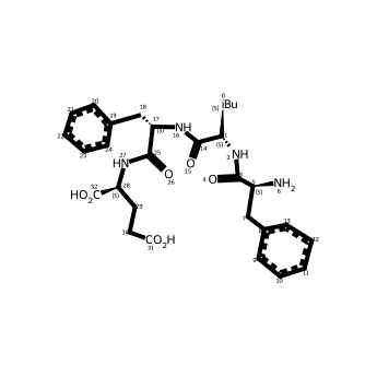 CC[C@H](C)[C@H](NC(=O)[C@@H](N)Cc1ccccc1)C(=O)N[C@@H](Cc1ccccc1)C(=O)N[C@@H](CCC(=O)O)C(=O)O